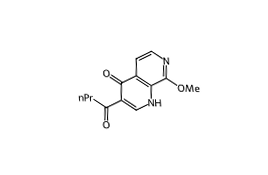 CCCC(=O)c1c[nH]c2c(OC)nccc2c1=O